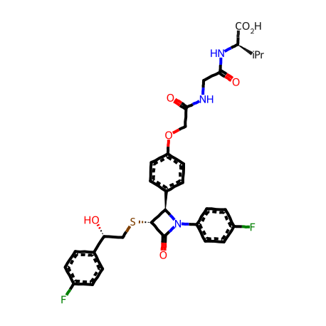 CC(C)[C@@H](NC(=O)CNC(=O)COc1ccc([C@@H]2[C@@H](SC[C@@H](O)c3ccc(F)cc3)C(=O)N2c2ccc(F)cc2)cc1)C(=O)O